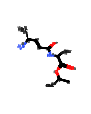 C[C@@H](C=O)OC(=O)C(NC(=O)CC[C@H](N)C(=O)O)C(C)(C)C